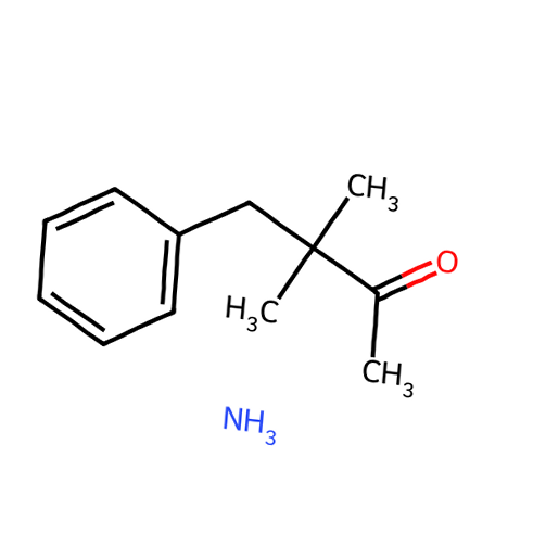 CC(=O)C(C)(C)Cc1ccccc1.N